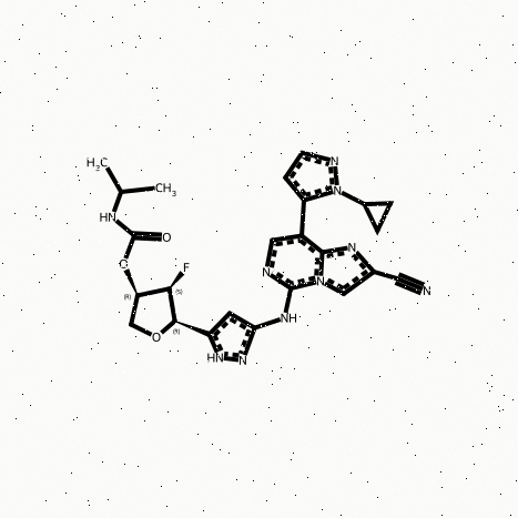 CC(C)NC(=O)O[C@@H]1CO[C@H](c2cc(Nc3ncc(-c4ccnn4C4CC4)c4nc(C#N)cn34)n[nH]2)[C@@H]1F